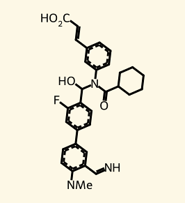 CNc1ccc(-c2ccc(C(O)N(C(=O)C3CCCCC3)c3cccc(/C=C/C(=O)O)c3)c(F)c2)cc1C=N